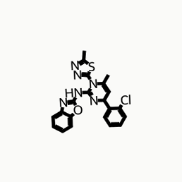 CC1=CC(c2ccccc2Cl)N=C(Nc2nc3ccccc3o2)N1c1nnc(C)s1